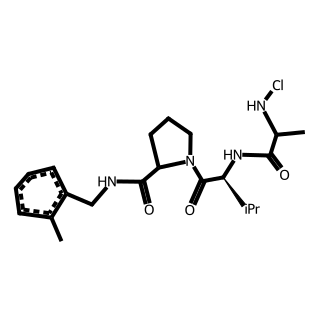 Cc1ccccc1CNC(=O)C1CCCN1C(=O)[C@@H](NC(=O)C(C)NCl)C(C)C